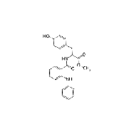 COC(=O)C(Cc1ccc(O)cc1)NC(=O)c1ccccc1Nc1ccccc1